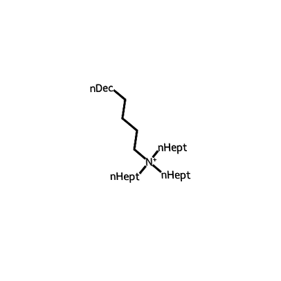 CCCCCCCCCCCCCC[N+](CCCCCCC)(CCCCCCC)CCCCCCC